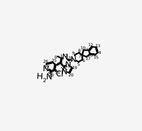 Cc1nc(N2CCC3(CC2)Cc2ccccc2C3)n2ccnc2c1-c1ccnc(N)c1Cl